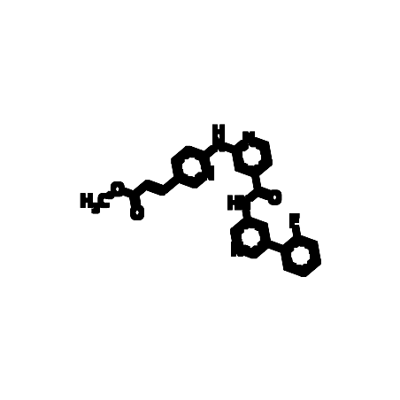 COC(=O)/C=C/c1ccc(Nc2cc(C(=O)Nc3cncc(-c4ccccc4F)c3)ccn2)nc1